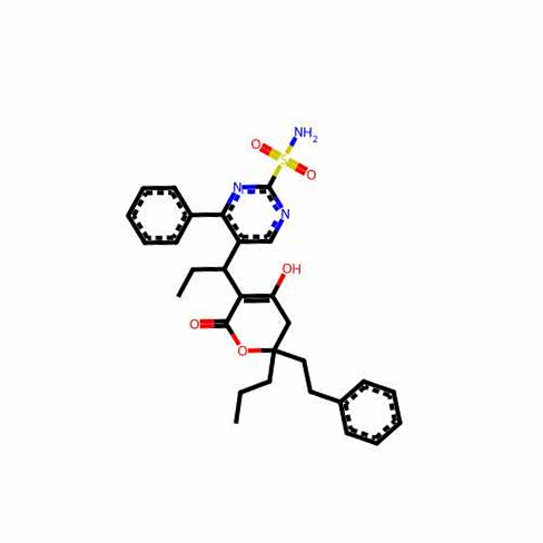 CCCC1(CCc2ccccc2)CC(O)=C(C(CC)c2cnc(S(N)(=O)=O)nc2-c2ccccc2)C(=O)O1